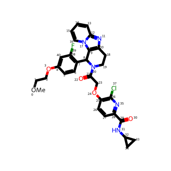 COCCOc1ccc(C2c3c(nc4ccccn34)CCN2C(=O)COc2ccc(C(=O)NC3CC3)nc2Cl)c(F)c1